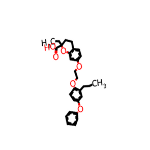 CCCc1cc(Oc2ccccc2)ccc1OCCOc1ccc2c(c1)OC(CC)(C(=O)O)CC2